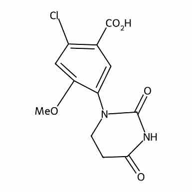 COc1cc(Cl)c(C(=O)O)cc1N1CCC(=O)NC1=O